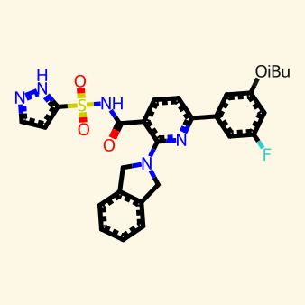 CC(C)COc1cc(F)cc(-c2ccc(C(=O)NS(=O)(=O)c3ccn[nH]3)c(N3Cc4ccccc4C3)n2)c1